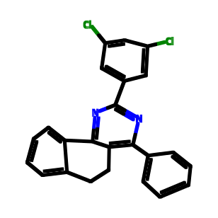 Clc1cc(Cl)cc(-c2nc(-c3ccccc3)c3c(n2)-c2ccccc2CC3)c1